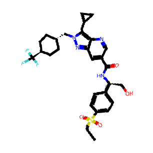 CCS(=O)(=O)c1ccc([C@H](CO)NC(=O)c2cnc3c(C4CC4)n(C[C@H]4CC[C@H](C(F)(F)F)CC4)nc3c2)cc1